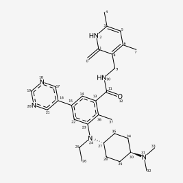 C=C1NC(C)=CC(C)=C1CNC(=O)c1cc(-c2cncnc2)cc(N(CC)[C@H]2CC[C@H](N(C)C)CC2)c1C